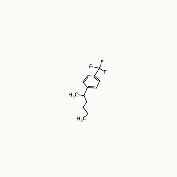 CCCCC(C)c1ccc(C(F)(F)F)cc1